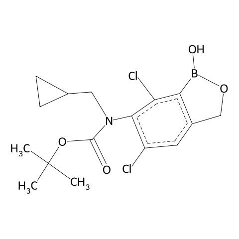 CC(C)(C)OC(=O)N(CC1CC1)c1c(Cl)cc2c(c1Cl)B(O)OC2